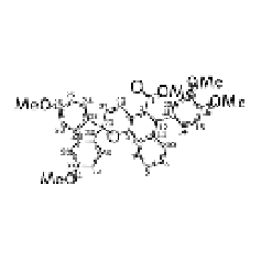 COC(=O)c1c2c(c3ccccc3c1-c1ccc(OC)c(OC)c1)OC(c1ccc(OC)cc1)(c1ccc(OC)cc1)C=C2